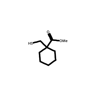 COC(=O)C1(CS)CCCCC1